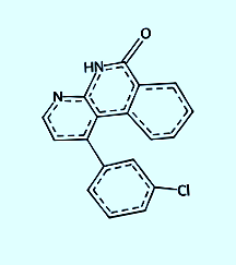 O=c1[nH]c2nccc(-c3cccc(Cl)c3)c2c2ccccc12